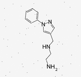 NCCNCc1cnn(-c2ccccc2)c1